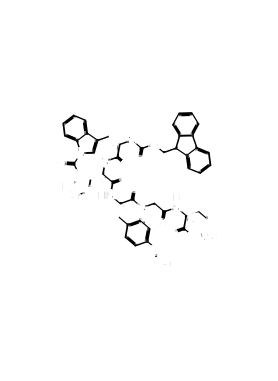 COC(=O)[C@H](CC(C)C)NC(=O)CNC(=O)[C@H](Cc1ccc(OC(C)(C)C)cc1)NC(=O)[C@H](COC(C)(C)C)NC(=O)[C@H](Cc1cn(C(=O)OC(C)(C)C)c2ccccc12)NC(=O)OCC1c2ccccc2-c2ccccc21